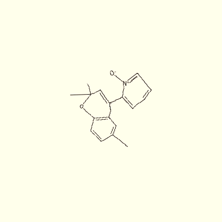 Cc1ccc2c(c1)C(c1cccc[n+]1[O-])=CC(C)(C)O2